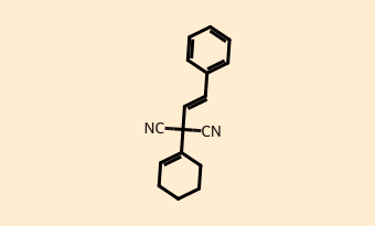 N#CC(C#N)(C=Cc1ccccc1)C1=CCCCC1